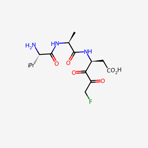 CC(C)[C@H](N)C(=O)N[C@@H](C)C(=O)N[C@@H](CC(=O)O)C(=O)C(=O)CF